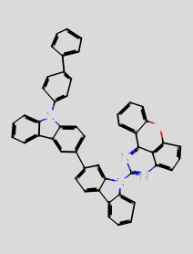 c1ccc(-c2ccc(-n3c4ccccc4c4cc(-c5ccc6c7ccccc7n(-c7nc8c9c(cccc9n7)Oc7ccccc7-8)c6c5)ccc43)cc2)cc1